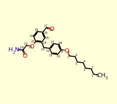 CCCCCCCCOc1ccc(Cc2cc(C=O)ccc2OCC(N)=O)cc1